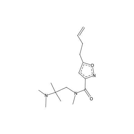 C=CCCc1cc(C(=O)N(C)CC(C)(C)N(C)C)no1